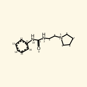 O=C(NCCN1C[CH]CC1)Nc1ccccc1